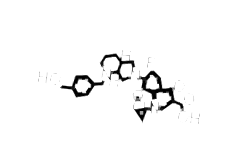 COc1c(N2C[C@@H]3CCCN(Cc4ccc(CO)cc4)[C@@H]3C2)c(F)cc2c(=O)c(C(=O)O)cn(C3CC3)c12